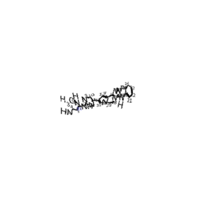 CN/C(=C\C=N)Nc1nccc(-c2cc3c4nnc(Nc5ccccc5F)n4ccn3c2)n1